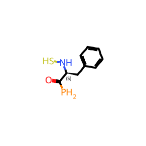 O=C(P)[C@H](Cc1ccccc1)NS